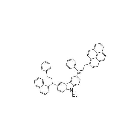 CCn1c2ccc(C(CCc3ccccc3)c3cccc4ccccc34)cc2c2cc([C@H](CCc3ccc4ccc5cccc6ccc3c4c56)c3ccccc3)ccc21